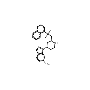 CC(C)(C)c1ccc2cnn(C3CCNC(CC(C)(C)c4cccc5ccccc45)C3)c2c1